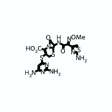 CON=C(C(=O)NC1C(=O)N2C(C(=O)O)=C(Sc3cc(N)nc(N)n3)CSC12)c1csc(N)n1